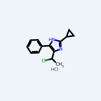 CC(Cl)c1nc(C2CC2)[nH]c1-c1ccccc1.Cl